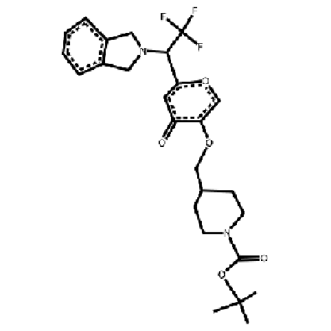 CC(C)(C)OC(=O)N1CCC(COc2coc(C(N3Cc4ccccc4C3)C(F)(F)F)cc2=O)CC1